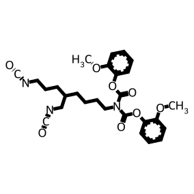 COc1ccccc1OC(=O)N(CCCCC(CCCN=C=O)CN=C=O)C(=O)Oc1ccccc1OC